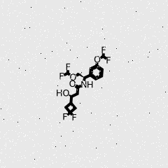 O=C(C[C@H](O)C1CC(F)(F)C1)N[C@@H](COC(F)F)c1cccc(OC(F)F)c1